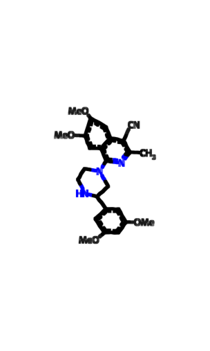 COc1cc(OC)cc(C2CN(c3nc(C)c(C#N)c4cc(OC)c(OC)cc34)CCN2)c1